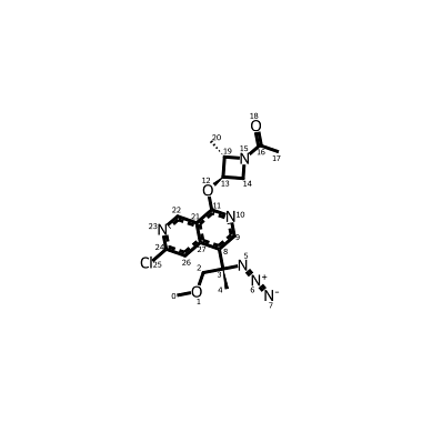 COC[C@@](C)(N=[N+]=[N-])c1cnc(O[C@@H]2CN(C(C)=O)[C@H]2C)c2cnc(Cl)cc12